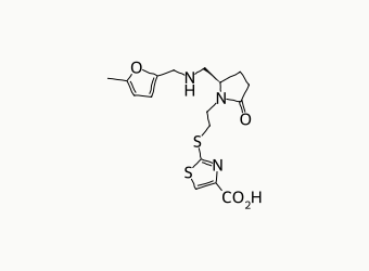 Cc1ccc(CNC[C@H]2CCC(=O)N2CCSc2nc(C(=O)O)cs2)o1